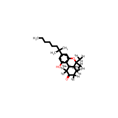 [2H]C([2H])([2H])C1(C([2H])([2H])[2H])Oc2cc(C(C)(C)CCCCCC)cc(O)c2[C@]2([2H])C([2H])([2H])C(=O)C([2H])([2H])C([2H])([2H])[C@@]12[2H]